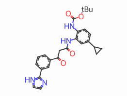 CC(C)(C)OC(=O)Nc1ccc(C2CC2)cc1NC(=O)CC(=O)c1cccc(-c2ncc[nH]2)c1